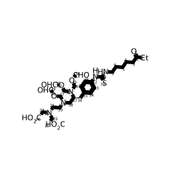 CCC(=O)CCCCCNC(=S)Nc1ccc(C[C@H](CN(CCN(CC(=O)O)CC(=O)O)COC=O)N(COC=O)COC=O)cc1